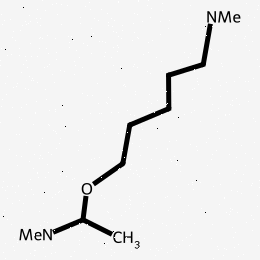 CNCCCCCOC(C)NC